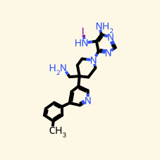 Cc1cccc(-c2cncc(C3(CN)CCN(c4ncnc(N)c4NI)CC3)c2)c1